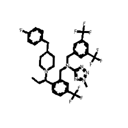 CCC(c1ccc(C(F)(F)F)cc1CN(Cc1cc(C(F)(F)F)cc(C(F)(F)F)c1)c1nnn(C)n1)N1CCC(Cc2ccc(F)cc2)CC1